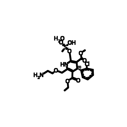 CCOC(=O)C1=C(COCCN)NC(C)=C(C(=O)OC)[C@@H]1c1ccccc1Cl.CS(=O)(=O)O.O